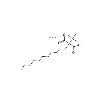 CCCCCCCCCCCC(C(=O)[O-])(C(=O)[O-])C(C)(C)C.[Ba+2]